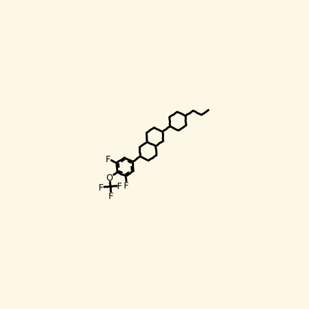 CCCC1CCC(C2CCC3CC(c4cc(F)c(OC(F)(F)F)c(F)c4)CCC3C2)CC1